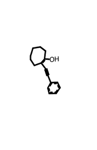 OC1=C(C#Cc2ccccc2)CCCCCC1